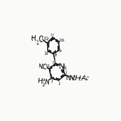 CC(=O)Nc1cc(N)c(C#N)c(-c2cccc(C)c2)n1